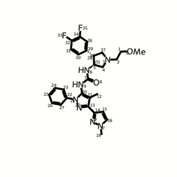 COCCN1C[C@@H](NC(=O)Nc2c(C)c(-c3ccn(C)n3)nn2-c2ccccc2)[C@H](c2ccc(F)c(F)c2)C1